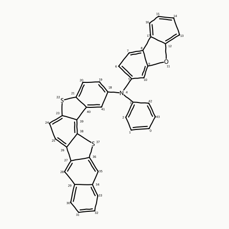 c1ccc(N(c2ccc3c(c2)oc2ccccc23)c2ccc3sc4ccc5c6cc7ccccc7cc6sc5c4c3c2)cc1